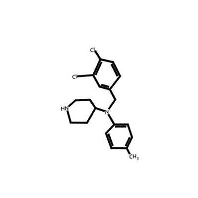 Cc1ccc(N(Cc2ccc(Cl)c(Cl)c2)C2CCNCC2)cc1